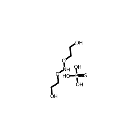 OCCONOCCO.OP(O)(O)=S